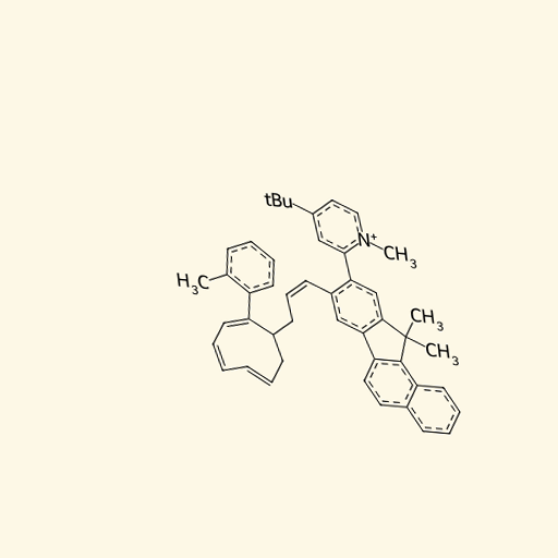 Cc1ccccc1/C1=C/C=C\C=C\CC1C/C=C\c1cc2c(cc1-c1cc(C(C)(C)C)cc[n+]1C)C(C)(C)c1c-2ccc2ccccc12